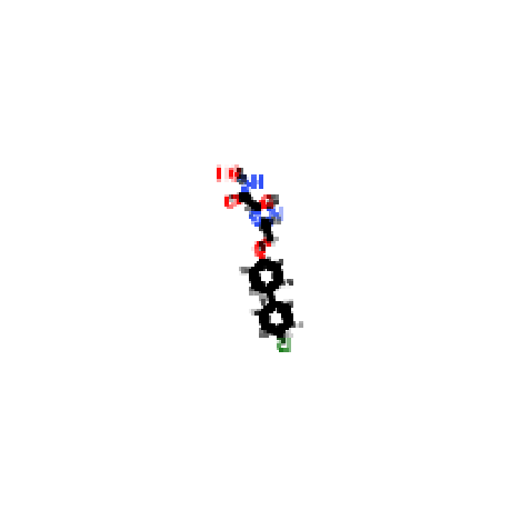 O=C(NO)c1nc(COc2ccc(-c3ccc(Cl)cc3)cc2)no1